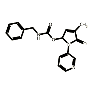 CC1=CC(OC(=O)NCc2ccccc2)N(c2cccnc2)C1=O